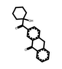 O=C1c2ccccc2Cc2ccc(C(=O)C3(O)CCCCC3)cc21